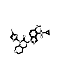 COc1ccc2c(cnn2[C@@H](CC2CCOCC2)C(=O)Nc2ncc(F)s2)c1S(=O)(=O)C1CC1